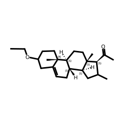 CCOC1CC[C@@]2(C)C(=CC[C@H]3[C@@H]4CC(C)[C@H](C(C)=O)[C@@]4(C)CC[C@@H]32)C1